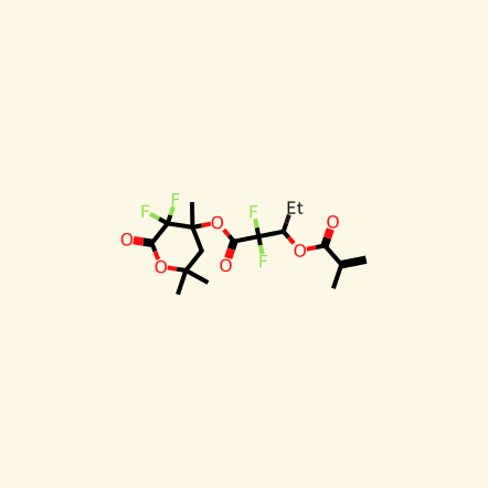 C=C(C)C(=O)OC(CC)C(F)(F)C(=O)OC1(C)CC(C)(C)OC(=O)C1(F)F